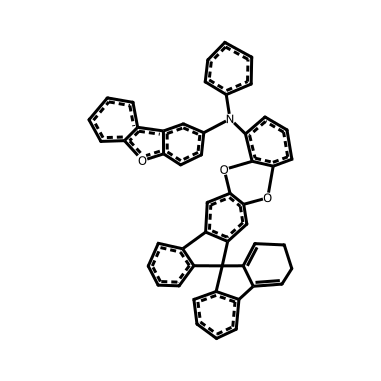 C1=C2C(=CCC1)C1(c3ccccc32)c2ccccc2-c2cc3c(cc21)Oc1cccc(N(c2ccccc2)c2ccc4oc5ccccc5c4c2)c1O3